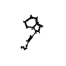 CC#Cn1cnc2ccccc21